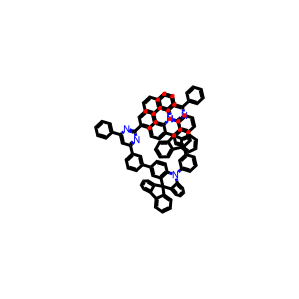 c1ccc(-c2ccc(-c3nc(-c4ccccc4)cc(-c4cccc(-c5ccc6c(c5)C5(c7ccccc7-c7ccccc75)c5ccccc5N6c5cccc(-c6ccc(-c7nc(-c8ccccc8)cc(-c8ccccc8-c8cccc9c8N(c8ccccc8)c8ccccc8C98c9ccccc9-c9ccccc98)n7)cc6)c5)c4)n3)cc2)cc1